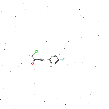 CC(Cl)C(=O)C#Cc1ccc(F)cc1